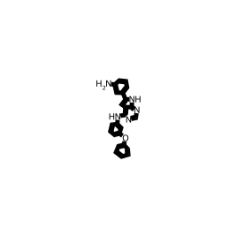 Nc1cccc(-c2cc3c(Nc4cccc(Oc5ccccc5)c4)ncnc3[nH]2)c1